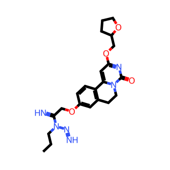 CCCN(N=N)C(=N)COc1ccc2c(c1)CCn1c-2cc(OCC2CCCO2)nc1=O